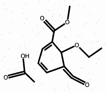 CC(=O)O.CCOC1C(=C=O)C=CC=C1C(=O)OC